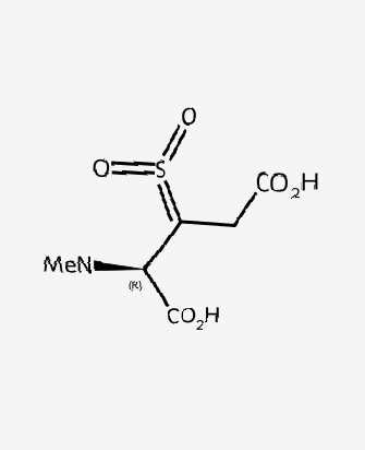 CN[C@H](C(=O)O)C(CC(=O)O)=S(=O)=O